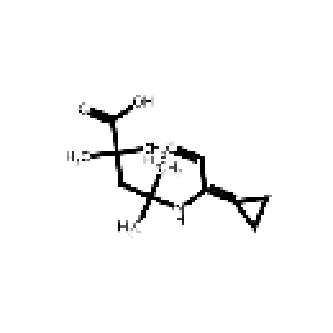 C=CC(NC(C)(C)CC(C)(C)C(=O)O)=C1CC1